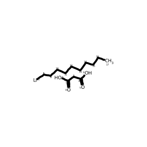 O=C(O)CC(=O)O.[Li][CH2]CCCCCCCCC